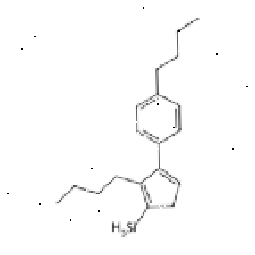 CCCCC1=C([SiH3])CC=C1c1ccc(CCCC)cc1